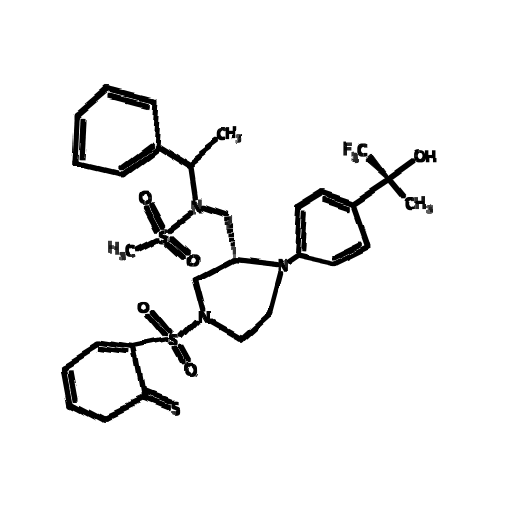 CC(c1ccccc1)N(C[C@H]1CN(S(=O)(=O)C2=CC=CCC2=S)CCN1c1ccc([C@@](C)(O)C(F)(F)F)cc1)S(C)(=O)=O